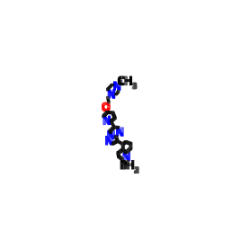 Bc1ccc2c(-c3cnn4cc(-c5ccc(OCCN6CCN(C)CC6)cn5)cnc34)cccc2n1